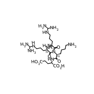 NCCCC[C@@H](C(=O)NC(CCC(=O)O)C(=O)O)N(C(=O)[C@@H](N)CCCNC(N)N)C(=O)[C@@H](N)CCCNC(N)N